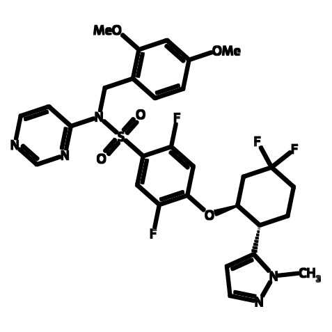 COc1ccc(CN(c2ccncn2)S(=O)(=O)c2cc(F)c(O[C@H]3CC(F)(F)CC[C@@H]3c3ccnn3C)cc2F)c(OC)c1